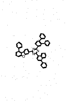 c1ccc(-c2ccc(-c3nc(-c4ccc5c(c4)oc4cccc(-c6ccccc6)c45)nc(-c4ccc(-c5ccccc5)c5ccccc45)n3)cc2-c2ccccc2)cc1